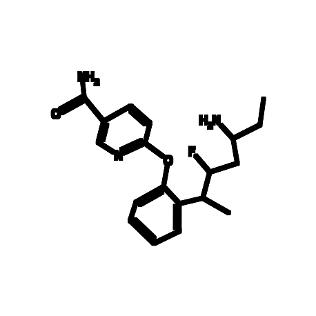 CCC(N)CC(F)C(C)c1ccccc1Oc1ccc(C(N)=O)cn1